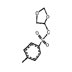 Cc1ccc(S(=O)(=O)OC2COCO2)cc1